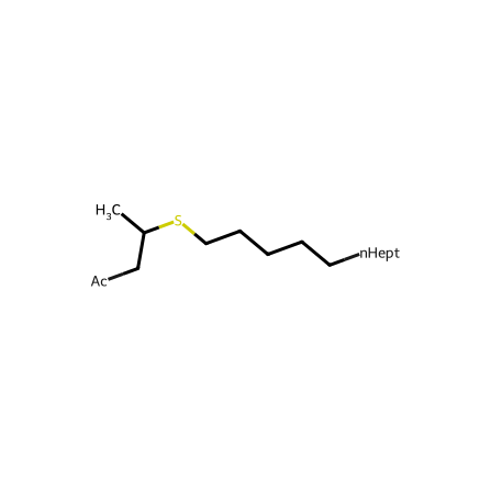 CCCCCCCCCCCCSC(C)CC(C)=O